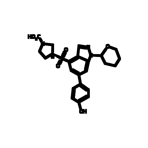 O=C(O)N1CC[C@H](S(=O)(=O)c2cc(-c3ccc(O)cc3)cc3c2cnn3C2CCCCO2)C1